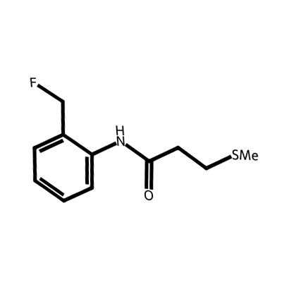 CSCCC(=O)Nc1ccccc1CF